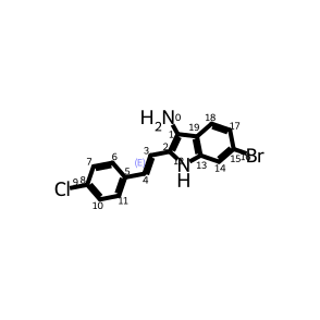 Nc1c(/C=C/c2ccc(Cl)cc2)[nH]c2cc(Br)ccc12